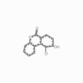 O=c1oc2ccccc2c2c(Cl)c(O)ccc12